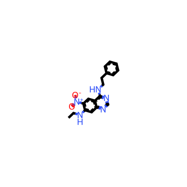 CCNc1cc2ncnc(NCCc3ccccc3)c2cc1[N+](=O)[O-]